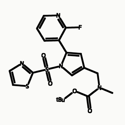 CN(Cc1cc(-c2cccnc2F)n(S(=O)(=O)c2nccs2)c1)C(=O)OC(C)(C)C